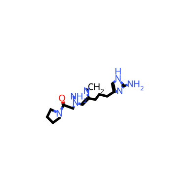 C=N/C(=C\N(N)CC(=O)N1CCCC1)CCCc1c[nH]c(N)n1